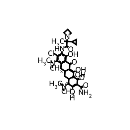 CN(C)c1c(Cl)c(NC(=O)C(C)(C2CC2)N2CCC2)c(O)c2c1CC1CC3[C@H](N(C)C)C(O)=C(C(N)=O)C(=O)[C@@]3(O)C(O)=C1C2=O